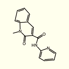 Cn1c(=O)c(C(=O)Nc2ccccn2)cc2ccccc21